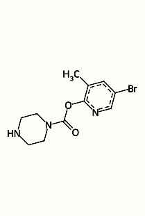 Cc1cc(Br)cnc1OC(=O)N1CCNCC1